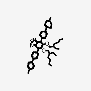 CCCCC(CC)COc1c(OCC(CC)CCCC)c(-c2ccc(-c3ccc(C)cc3)cc2)c2nsnc2c1-c1ccc(-c2ccc(C)cc2)cc1